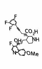 COc1ccc2ncc(F)c([C@H](O)CCC3CCNCC3[C@H](CC#Cc3cc(F)cc(F)c3F)C(=O)O)c2c1